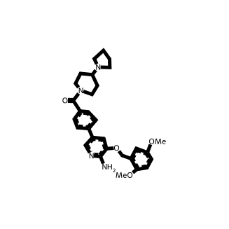 COc1ccc(OC)c(COc2cc(-c3ccc(C(=O)N4CCC(N5CCCC5)CC4)cc3)cnc2N)c1